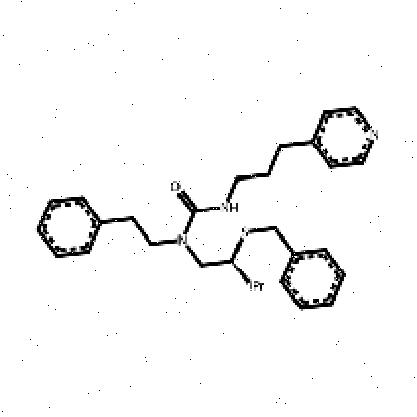 CC(C)[C@@H](CN(CCc1ccccc1)C(=O)NCCCc1ccncc1)SCc1ccccc1